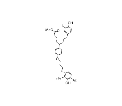 CCCc1c(OCCCOc2ccc(C(CCCc3ccc(O)c(I)c3)SCCC(=O)OC)cc2)ccc(C(C)=O)c1O